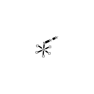 [N-]=[N+]=[N][W]([Cl])([Cl])([Cl])([Cl])[Cl]